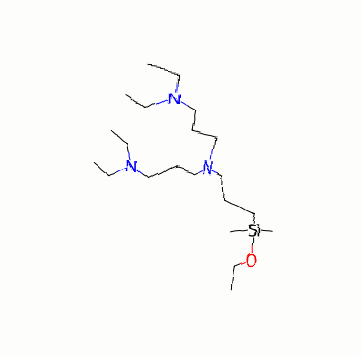 CCO[Si](C)(C)CCCN(CCCN(CC)CC)CCCN(CC)CC